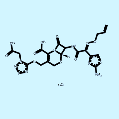 C=CCON=C(C(=O)NC1C(=O)N2C(C(=O)O)=C(CSc3nnnn3CC(=O)O)CS[C@@H]12)c1csc(N)n1.Cl